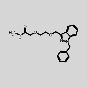 NNC(=O)COCCOCc1nn(Cc2ccccc2)c2ccccc12